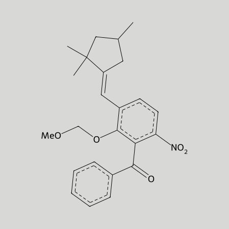 COCOc1c(/C=C2\CC(C)CC2(C)C)ccc([N+](=O)[O-])c1C(=O)c1ccccc1